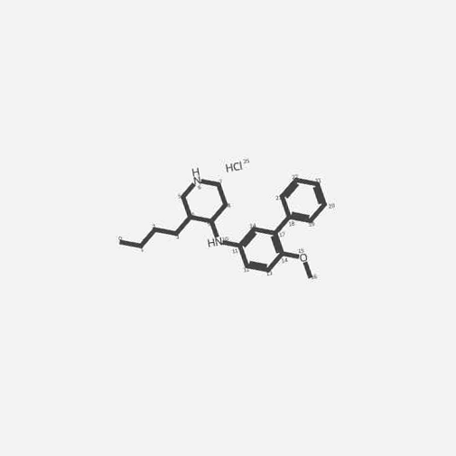 CCCCC1CNCCC1Nc1ccc(OC)c(-c2ccccc2)c1.Cl